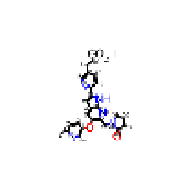 Cc1ccc(Oc2cc3cc(-c4ccc(CCC(=O)O)cn4)[nH]c3nc2CN2CCCC2=O)cn1